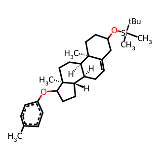 Cc1ccc(OC2CC[C@H]3[C@@H]4CC=C5CC(O[Si](C)(C)C(C)(C)C)CC[C@]5(C)[C@@H]4CC[C@]23C)cc1